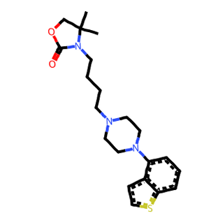 CC1(C)COC(=O)N1CCCCN1CCN(c2cccc3sccc23)CC1